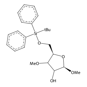 COC1C(O)[C@H](OC)O[C@@H]1CO[Si](c1ccccc1)(c1ccccc1)C(C)(C)C